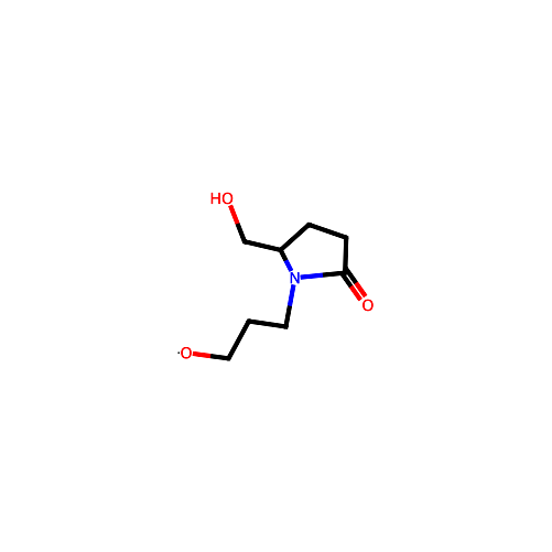 [O]CCCN1C(=O)CCC1CO